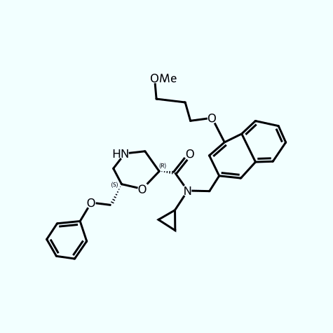 COCCCOc1cc(CN(C(=O)[C@H]2CNC[C@@H](COc3ccccc3)O2)C2CC2)cc2ccccc12